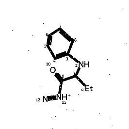 CCC(Nc1ccccc1)C(=O)[NH+]=[N-]